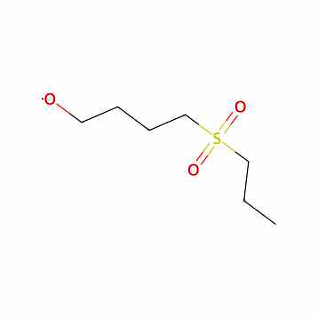 CCCS(=O)(=O)CCCC[O]